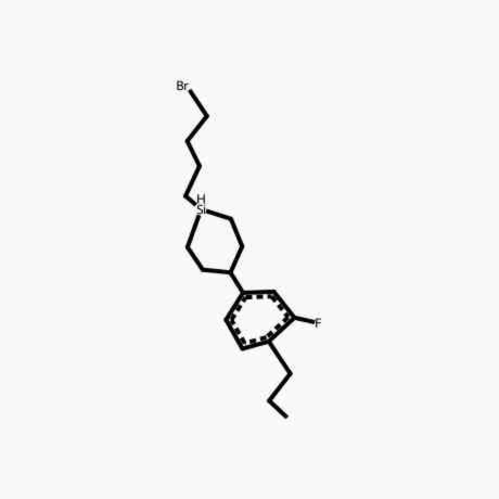 CCCc1ccc(C2CC[SiH](CCCCBr)CC2)cc1F